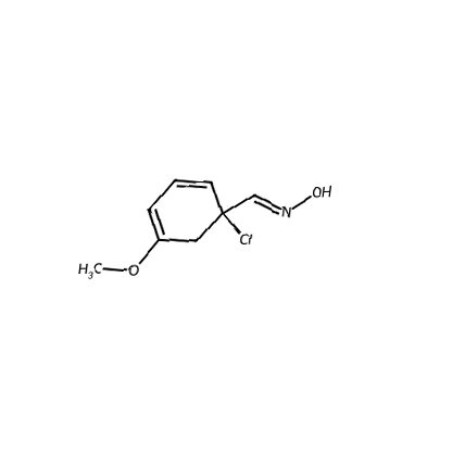 COC1=CC=CC(Cl)(C=NO)C1